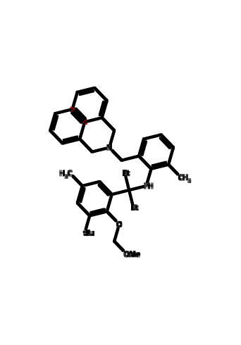 CCC(CC)(Pc1c(C)cccc1CN(Cc1ccccc1)Cc1ccccc1)c1cc(C)cc(C(C)(C)C)c1OCOC